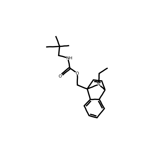 CCN1C2C=CC1(COC(=O)NCC(C)(C)C)c1ccccc12